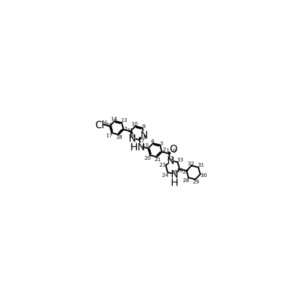 O=C(c1ccc(Nc2nccc(-c3ccc(Cl)cc3)n2)cc1)N1CCNC(C2CCCCC2)C1